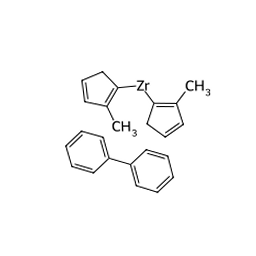 CC1=[C]([Zr][C]2=C(C)C=CC2)CC=C1.c1ccc(-c2ccccc2)cc1